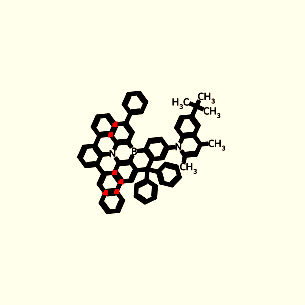 CC1=CC(C)c2cc(C(C)(C)C)ccc2N1c1ccc2c(c1)C(c1ccccc1)(c1ccccc1)c1cc(-c3ccccc3)cc3c1B2c1cc(-c2ccccc2)ccc1N3c1c(-c2ccccc2)cccc1-c1ccccc1